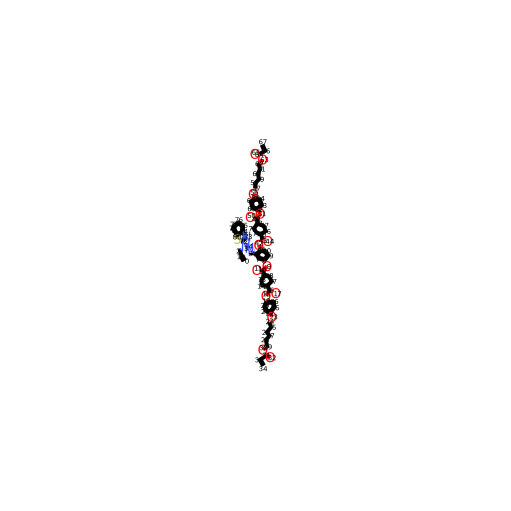 C#CCN(/N=C/c1cc(OC(=O)C2CCC(C(=O)Oc3ccc(OCCCCCCOC(=O)C=C)cc3)CC2)ccc1OC(=O)C1CCC(C(=O)Oc2ccc(OCCCCCCOC(=O)C=C)cc2)CC1)c1nc2ccccc2s1